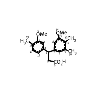 COc1cc(C(CC(=O)O)c2cc(C)c(C)c(OC)c2)ccc1C